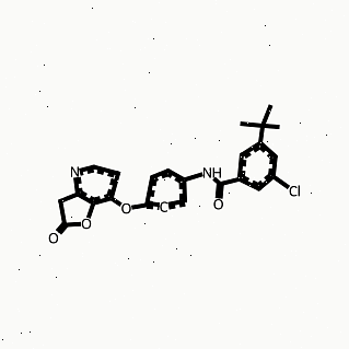 CC(C)(C)c1cc(Cl)cc(C(=O)Nc2ccc(Oc3ccnc4c3OC(=O)C4)cc2)c1